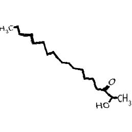 CCCCCCCCCCCCCCCC(=O)C(C)O